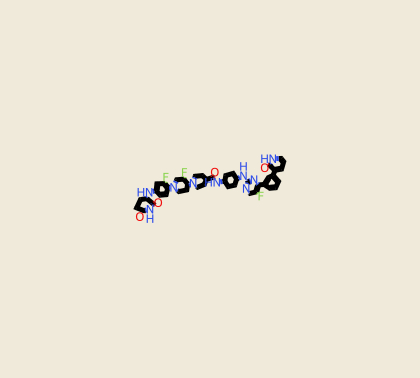 O=C1CCC(Nc2ccc(N3CCC(N4CCC(C(=O)NC5CCC(Nc6ncc(F)c(-c7cccc(-c8ccc[nH]c8=O)c7)n6)CC5)CC4)C(F)C3)c(F)c2)C(=O)N1